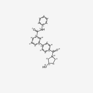 O=C(Nc1ccccc1)c1cncc(-c2ccc(C(=O)N3CCC(O)C3)cc2)n1